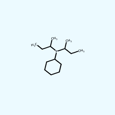 CCC(C)P(C(C)CC)C1CCCCC1